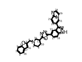 c1ccc2oc(CN3CCCC(c4nnc(-c5ccc6[nH]nc(-c7ccc8nccn8c7)c6c5)o4)C3)cc2c1